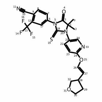 CC1(C)C(=O)N(c2ccc(C#N)c(C(F)(F)F)c2)C(=S)N1c1ccc(O/C=C/C2CCOC2)nc1